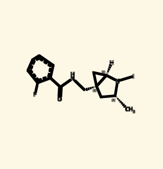 C[C@@H]1C[C@@]2(CNC(=O)c3ccccc3F)C[C@H]2N1I